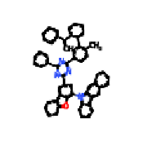 C=C(c1ccccc1)c1ccccc1-c1cc(-c2nc(-c3ccccc3)nc(-c3cc(-n4c5ccccc5c5cc6ccccc6cc54)c4oc5ccccc5c4c3)n2)ccc1C